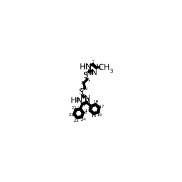 Cc1c[nH]c(SCCCSc2nc(-c3ccccc3)c(-c3ccccc3)[nH]2)n1